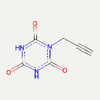 C#CCn1c(=O)[nH]c(=O)[nH]c1=O